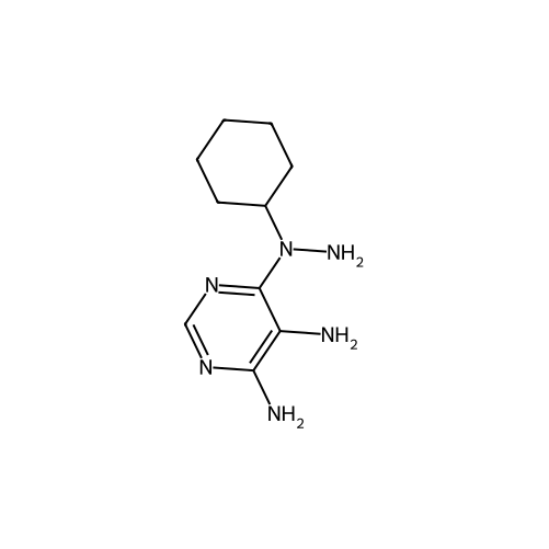 Nc1ncnc(N(N)C2CCCCC2)c1N